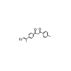 CC/C=C(\C)c1ccc(C(=O)CC(=O)c2ccc(C)cc2)cc1